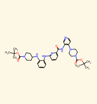 CC(C)(C)OC(=O)N1CCC(Nc2ccccc2Nc2cccc(C(=O)Nc3cnccc3N3CCN(C(=O)OC(C)(C)C)CC3)n2)CC1